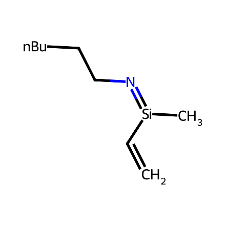 C=C[Si](C)=NCCCCCC